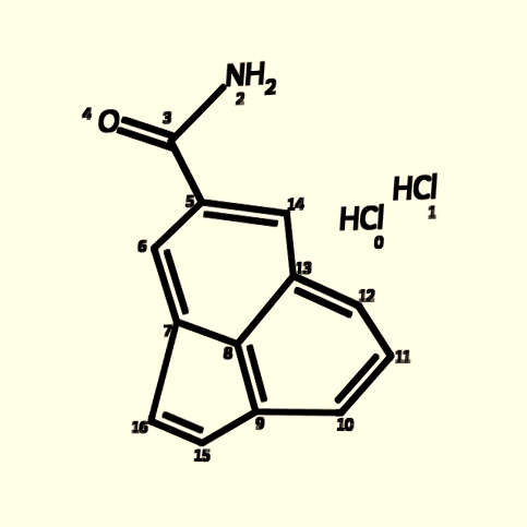 Cl.Cl.NC(=O)c1cc2c3c(cccc3c1)C=C2